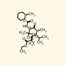 CCOC(=O)/C(C)=C/[C@H](C(C)C)N(C)C(=O)[C@H](NC(=O)[C@H]1CCCCN1C)C(C)(C)C